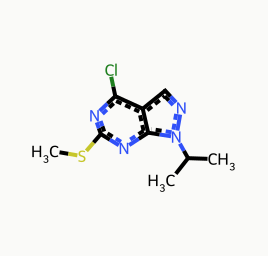 CSc1nc(Cl)c2cnn(C(C)C)c2n1